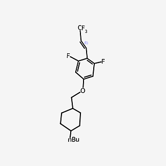 CCCCC1CCC(COc2cc(F)c(/C=C/C(F)(F)F)c(F)c2)CC1